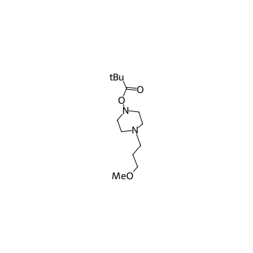 COCCCN1CCN(OC(=O)C(C)(C)C)CC1